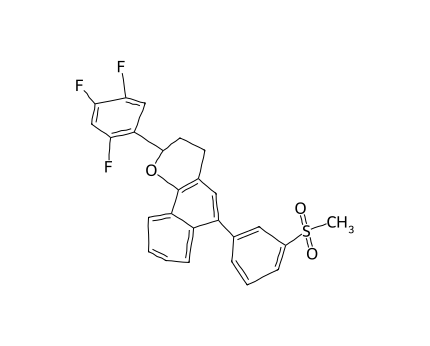 CS(=O)(=O)c1cccc(-c2cc3c(c4ccccc24)OC(c2cc(F)c(F)cc2F)CC3)c1